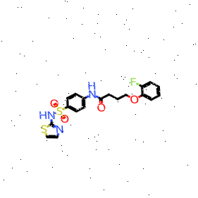 O=C(CCCOc1ccccc1F)Nc1ccc(S(=O)(=O)Nc2nccs2)cc1